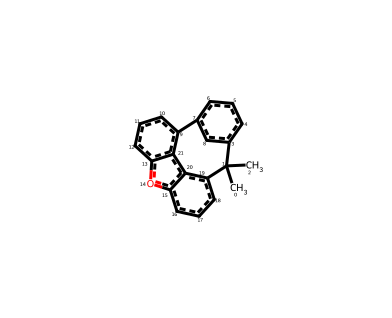 CC1(C)c2cccc(c2)-c2cccc3oc4cccc1c4c23